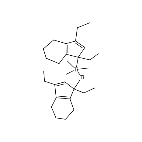 CCC1=C[C](CC)([Ti][Ti]([CH3])([CH3])([CH3])[C]2(CC)C=C(CC)C3=C2CCCC3)C2=C1CCCC2